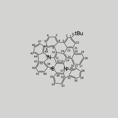 CC(C)(C)c1cc2c3ccccc3c3c4c5c(c6c7ccccc7c(c1)c2c36)-n1c2ccccc2c2cccc(c21)B5c1cccc2c3ccccc3n-4c12